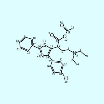 CCN(CC)CCC(C(=O)OC(C)=O)c1sc(-c2ccccc2)nc1-c1ccc(Cl)cc1